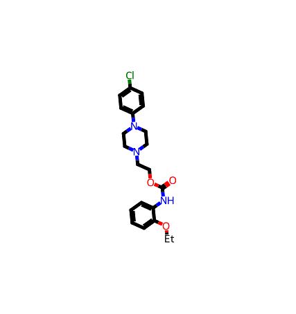 CCOc1ccccc1NC(=O)OCCN1CCN(c2ccc(Cl)cc2)CC1